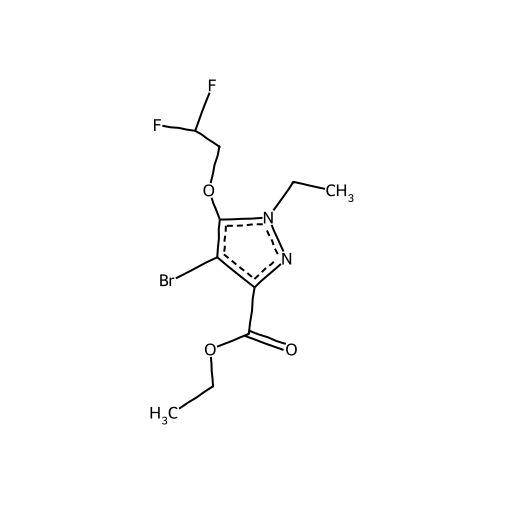 CCOC(=O)c1nn(CC)c(OCC(F)F)c1Br